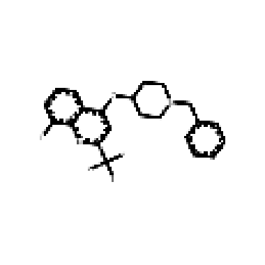 Fc1cccc2c(OC3CCN(Cc4ccccc4)CC3)cc(C(F)(F)F)nc12